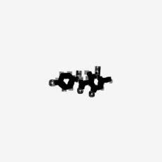 Cc1cc(=O)c(C(=O)Nc2ccc(Cl)cc2)c(C)[nH]1